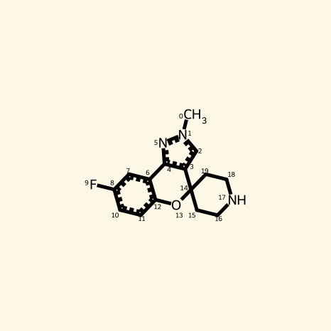 Cn1cc2c(n1)-c1cc(F)ccc1OC21CCNCC1